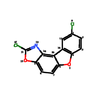 Clc1ccc2oc3ccc4oc(Cl)nc4c3c2c1